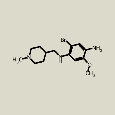 COc1cc(NCC2CCN(C)CC2)c(Br)cc1N